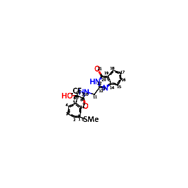 CSc1cccc([C@@](O)(C(=O)NCc2nc3ccccc3c(=O)[nH]2)C(F)(F)F)c1